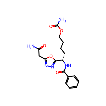 NC(=O)Cc1nnc([C@H](CCCCOC(N)=O)NC(=O)c2ccccc2)o1